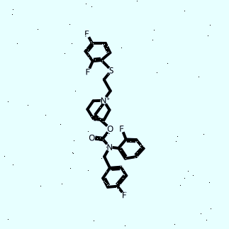 O=C(OC1C[N+]2(CCSc3ccc(F)cc3F)CCC1CC2)N(Cc1ccc(F)cc1)c1ccccc1F